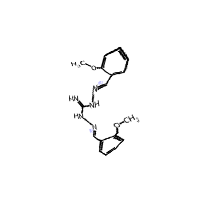 COc1ccccc1/C=N/NC(=N)N/N=C/c1ccccc1OC